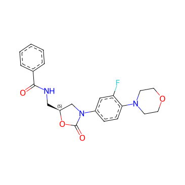 O=C(NC[C@H]1CN(c2ccc(N3CCOCC3)c(F)c2)C(=O)O1)c1ccccc1